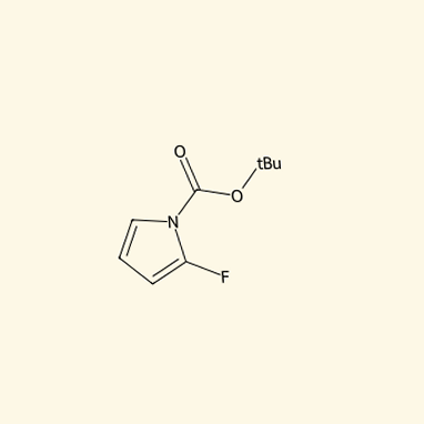 CC(C)(C)OC(=O)n1cccc1F